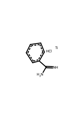 Cl.N=C(N)c1ccccc1.[Ti]